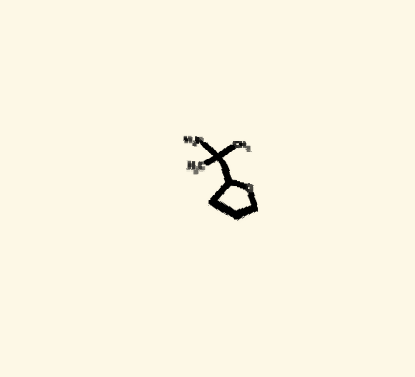 CC(C)(N)C1CCCO1